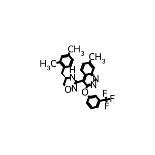 Cc1ccc(C[C@@H]2CON=C(c3c(Oc4cccc(C(F)(F)F)c4)nnc4cc(C)ccc34)N2)c(C)c1